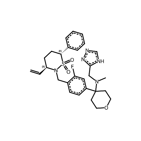 C=C[C@H]1CC[C@H](c2ccccc2)S(=O)(=O)N1Cc1ccc(C2(N(C)Cc3nnc[nH]3)CCOCC2)cc1F